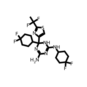 CC(F)(F)c1nc(C2(C3CCC(F)(F)CC3)N=C(N)N=C(NC3CCC(F)(F)CC3)N2)cs1